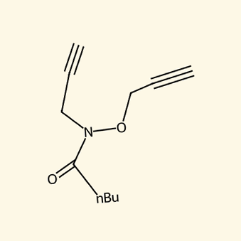 C#CCON(CC#C)C(=O)CCCC